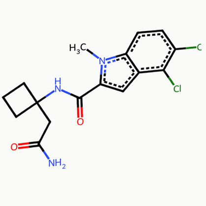 Cn1c(C(=O)NC2(CC(N)=O)CCC2)cc2c(Cl)c(Cl)ccc21